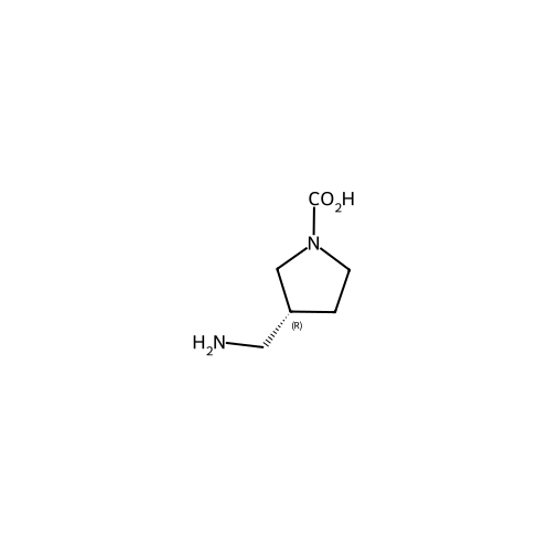 NC[C@H]1CCN(C(=O)O)C1